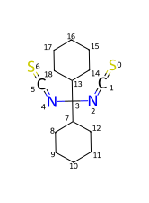 S=C=NC(N=C=S)(C1CCCCC1)C1CCCCC1